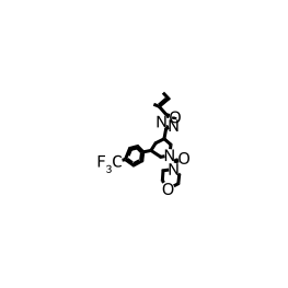 C/C=C(\C)c1nc(C2CC(c3ccc(C(F)(F)F)cc3)CN(C(=O)N3CCOCC3)C2)no1